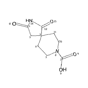 O=C1CC2(CCN(C(=O)O)CC2)C(=O)N1